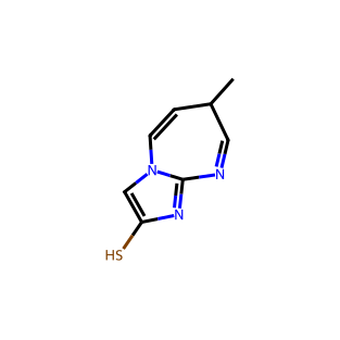 CC1C=Cn2cc(S)nc2N=C1